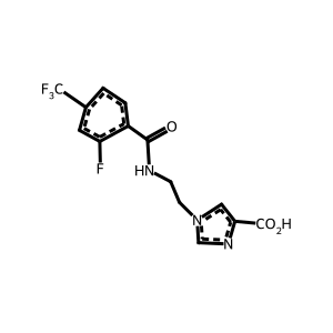 O=C(O)c1cn(CCNC(=O)c2ccc(C(F)(F)F)cc2F)cn1